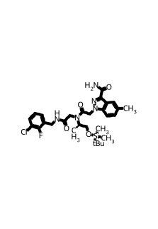 Cc1ccc2c(c1)c(C(N)=O)nn2CC(=O)N(CC(=O)NCc1cccc(Cl)c1F)[C@H](C)CO[Si](C)(C)C(C)(C)C